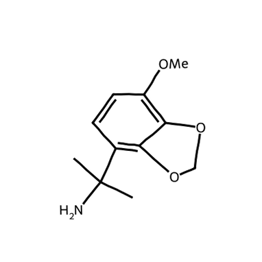 COc1ccc(C(C)(C)N)c2c1OCO2